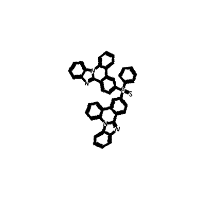 S=P(c1ccccc1)(c1ccc2c(c1)c1ccccc1n1c3ccccc3nc21)c1ccc2c(c1)c1ccccc1n1c3ccccc3nc21